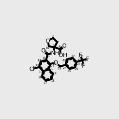 O=C(NC1(C(=O)O)CCOC1)c1cc(Cl)c2ccccc2c1OCc1ccc(C(F)(F)F)cc1